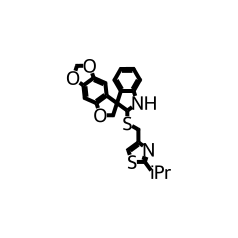 CC(C)c1nc(CSC2Nc3ccccc3C23COc2cc4c(cc23)OCO4)cs1